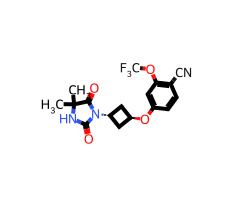 CC1(C)NC(=O)N([C@H]2C[C@H](Oc3ccc(C#N)c(OC(F)(F)F)c3)C2)C1=O